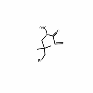 C=CC(=O)N(C=O)CC(C)(C)CC(C)C